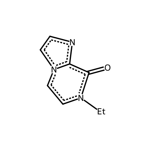 CCn1ccn2ccnc2c1=O